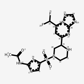 CC(=O)Nc1ncc(S(=O)(=O)N2CCNC(c3cc(C(F)F)n4ncnc4n3)C2)s1